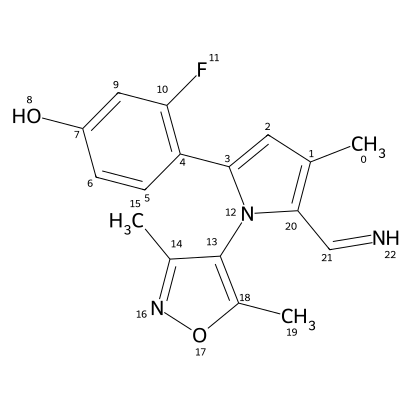 Cc1cc(-c2ccc(O)cc2F)n(-c2c(C)noc2C)c1C=N